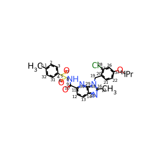 Cc1ccc(S(=O)(=O)NC(=O)c2ccc3nc(C)n(Cc4ccc(OC(C)C)cc4Cl)c3n2)cc1